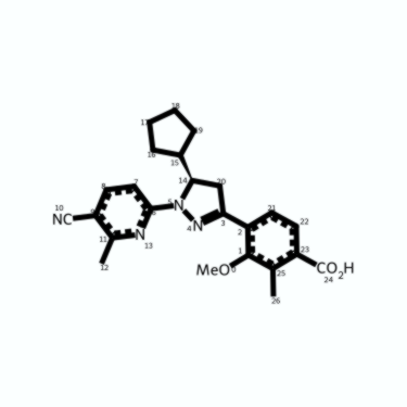 COc1c(C2=NN(c3ccc(C#N)c(C)n3)[C@@H](C3CCCC3)C2)ccc(C(=O)O)c1C